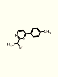 Cc1ccc(-c2ccnc(C(C)Br)n2)cc1